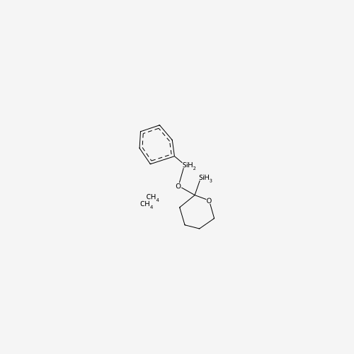 C.C.[SiH3]C1(O[SiH2]c2ccccc2)CCCCO1